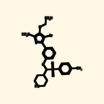 Cc1ccc(S(=O)(=O)C(Oc2cccc(-c3sc(C(=O)O)c(OCC(=O)O)c3Br)c2)C2CCNCC2)cc1